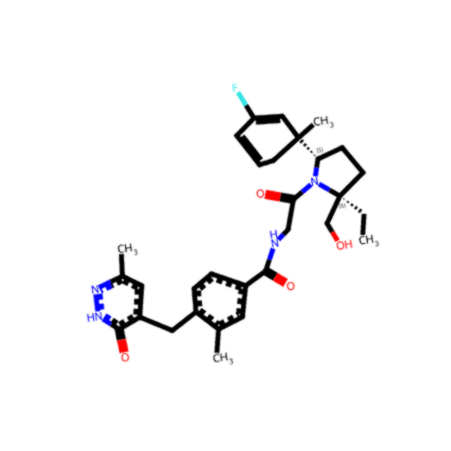 CC[C@@]1(CO)CC[C@@H](C2(C)C=C(F)C=CC2)N1C(=O)CNC(=O)c1ccc(Cc2cc(C)n[nH]c2=O)c(C)c1